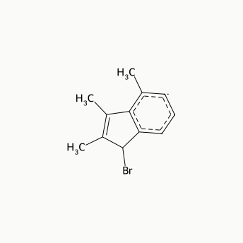 CC1=C(C)C(Br)c2cc[c]c(C)c21